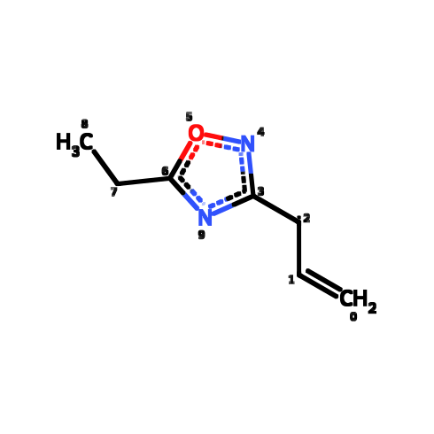 C=C[CH]c1noc(CC)n1